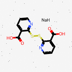 O=C(O)c1cccnc1SSc1ncccc1C(=O)O.[NaH]